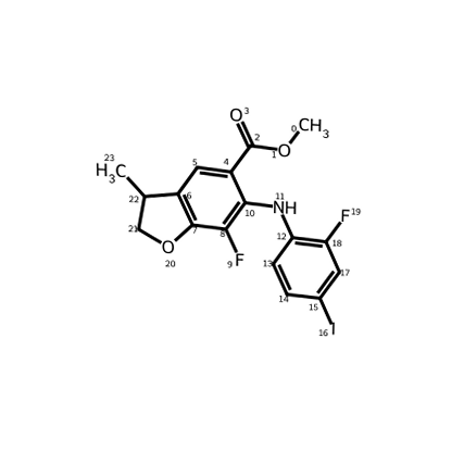 COC(=O)c1cc2c(c(F)c1Nc1ccc(I)cc1F)OCC2C